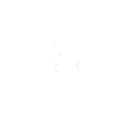 Cc1ccc2nc(N3CCC(N[C@H]4CCC[C@@H]4O)CC3)c(-c3ccc(C)nn3)cc2c1